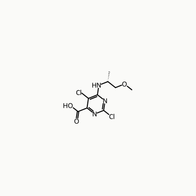 COC[C@@H](C)Nc1nc(Cl)nc(C(=O)O)c1Cl